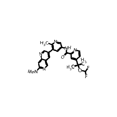 CNc1cc2ncc(-c3cc(NC(=O)c4cc(C(C)(C)OC(F)F)ccn4)cnc3C)cc2cn1